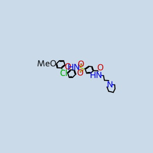 COc1ccc(Oc2ccccc2NS(=O)(=O)c2ccc(C(=O)NCCCN3CCCCC3)cc2)c(Cl)c1